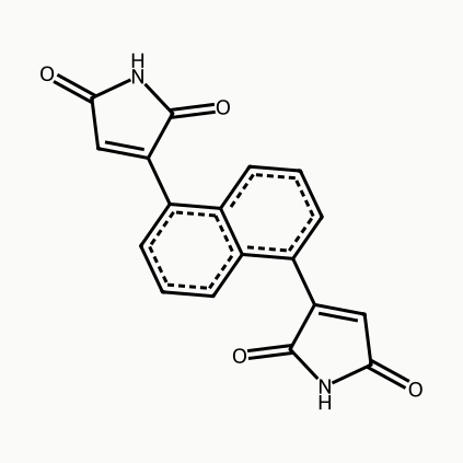 O=C1C=C(c2cccc3c(C4=CC(=O)NC4=O)cccc23)C(=O)N1